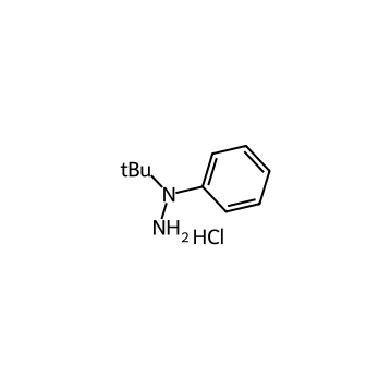 CC(C)(C)N(N)c1ccccc1.Cl